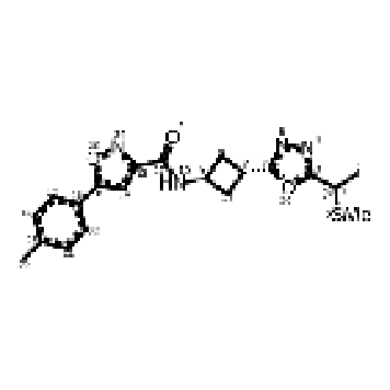 CS[C@H](C)c1nnc([C@H]2C[C@H](NC(=O)c3cc(-c4ccc(C)cc4)on3)C2)o1